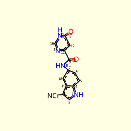 N#Cc1c[nH]c2ccc(NC(=O)c3cc(=O)[nH]cn3)cc12